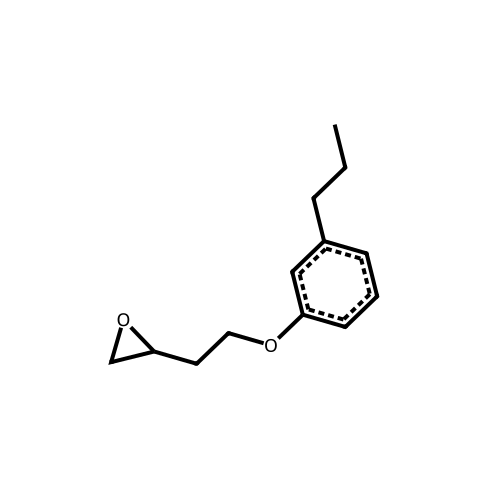 CCCc1cccc(OCCC2CO2)c1